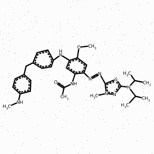 CNc1ccc(Cc2ccc(Nc3cc(NC(C)=O)c(N=Nc4sc(N(C(C)C)C(C)C)n[n+]4C)cc3OC)cc2)cc1